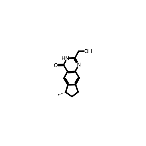 C[C@H]1CCc2cc3nc(CO)[nH]c(=O)c3cc21